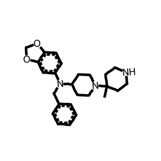 CC1(N2CCC(N(Cc3ccccc3)c3ccc4c(c3)OCO4)CC2)CCNCC1